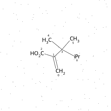 C=C(C(=O)O)C(C)(C)C(C)C